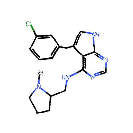 CCN1CCCC1CNc1ncnc2[nH]cc(-c3cccc(Cl)c3)c12